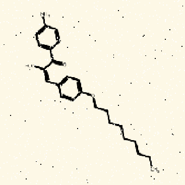 CCCCCCCCCOc1ccc(C=C(C)C(=O)c2ccc(N)cc2)cc1